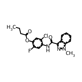 CCCC(=O)Oc1cc(Cl)c(NC(=O)c2nn(C)c3ccccc23)cc1F